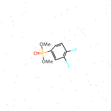 COP(=O)(OC)c1ccc(F)c(F)c1